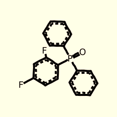 O=P(c1ccccc1)(c1ccccc1)c1ccc(F)cc1F